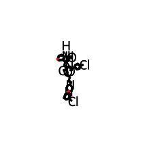 O=C(NC(Cc1cc(=O)[nH]c2ccccc12)C(=O)OCCCCN1CCN(c2cccc(Cl)c2)CC1)c1ccc(Cl)cc1